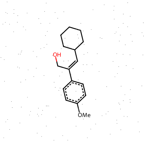 COc1ccc(C(=CC2CCCCC2)CO)cc1